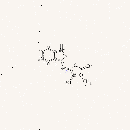 CN1C(=O)O/C(=C\c2c[nH]c3ccncc23)C1=O